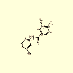 O=C(Nc1cccc(Br)c1)c1ccc(Cl)[n+]([O-])c1